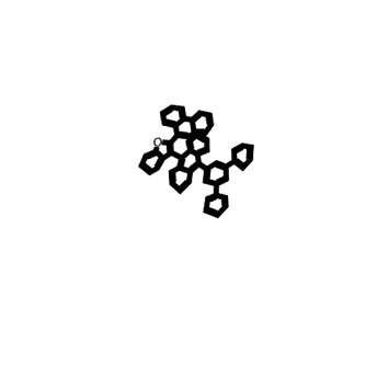 c1ccc(-c2cc(-c3ccccc3)cc(-c3c4ccccc4c(-c4c(-c5cc6ccccc6c6ccccc56)oc5ccccc45)c4ccccc34)c2)cc1